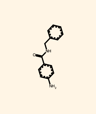 Nc1[c]cc(C(=O)NCc2ccccc2)cc1